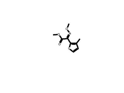 CON=C(C(=O)OC)c1sccc1C